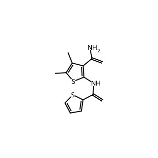 C=C(Nc1sc(C)c(C)c1C(=C)N)c1cccs1